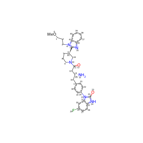 COCCCn1c([C@@H]2CCCN(C(=O)C[C@H](N)Cc3ccc(-n4c(=O)[nH]c5ccc(F)cc54)cc3)C2)nc2ccccc21